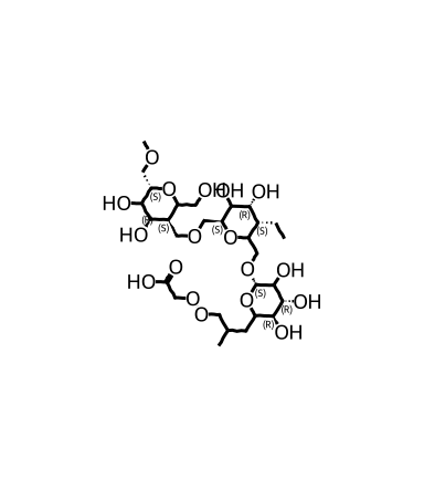 CC[C@@H]1C(CO[C@H]2OC(CC(C)COOCC(=O)O)[C@H](O)[C@@H](O)C2O)O[C@@H](COC[C@@H]2C(CO)O[C@@H](COC)C(O)[C@@H]2O)C(O)[C@@H]1O